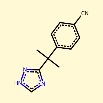 CC(C)(c1ccc(C#N)cc1)c1nc[nH]n1